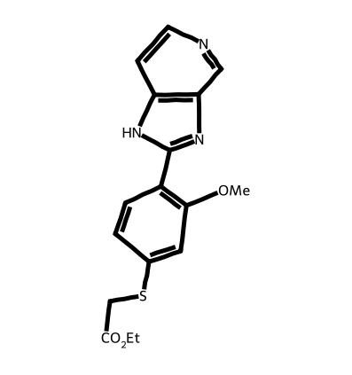 CCOC(=O)CSc1ccc(-c2nc3cnccc3[nH]2)c(OC)c1